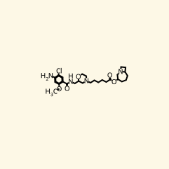 COc1cc(N)c(Cl)cc1C(=O)NCC1CN(CCCCCC(=O)OC2CCCC3CCN3C2)CCO1